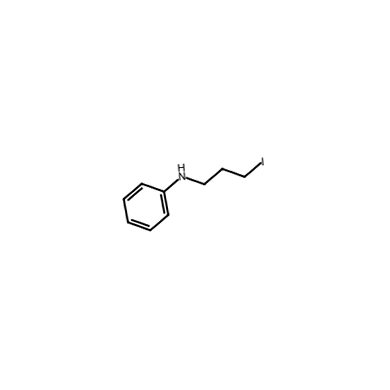 ICCCNc1ccccc1